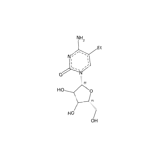 CCc1cn([C@@H]2O[C@H](CO)C(O)C2O)c(=O)nc1N